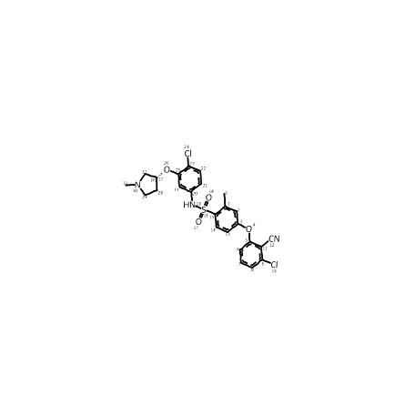 Cc1cc(Oc2cccc(Cl)c2C#N)ccc1S(=O)(=O)Nc1ccc(Cl)c(O[C@@H]2CCN(C)C2)c1